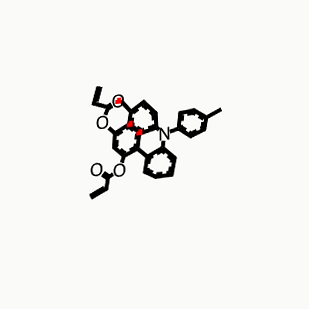 C=CC(=O)Oc1ccc(-c2ccccc2N(c2ccc(C)cc2)c2ccc(C)cc2)c(OC(=O)C=C)c1